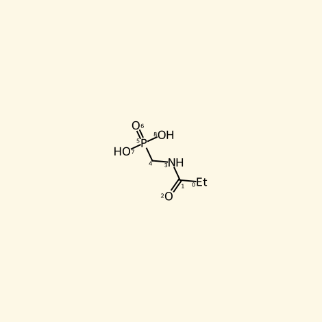 CCC(=O)NCP(=O)(O)O